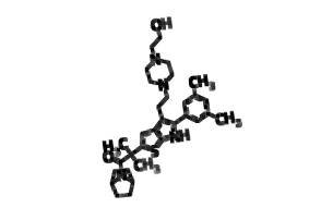 Cc1cc(C)cc(-c2[nH]c3sc(C(C)(C)C(=O)N4C5CCC4CC5)cc3c2CCN2CCN(CCO)CC2)c1